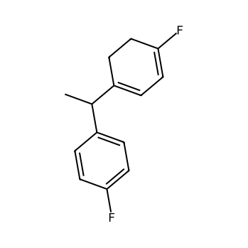 CC(C1=CC=C(F)CC1)c1ccc(F)cc1